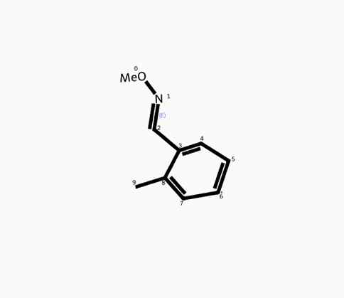 CO/N=C/c1cc[c]cc1C